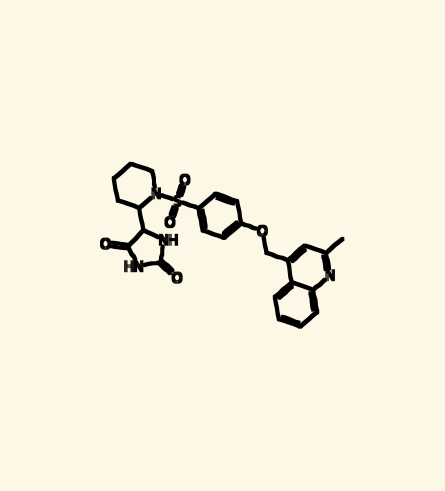 Cc1cc(COc2ccc(S(=O)(=O)N3CCCCC3C3NC(=O)NC3=O)cc2)c2ccccc2n1